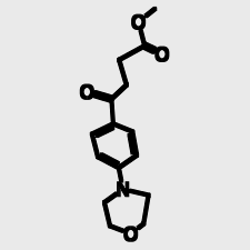 COC(=O)CCC(=O)c1ccc(N2CCOCC2)cc1